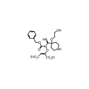 CCOC(=O)C=C(ON(C(=N)C1(OCCO)CCNCC1)C(=O)OCc1ccccc1)C(=O)OCC